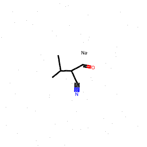 CC(C)C(C#N)C=O.[Na]